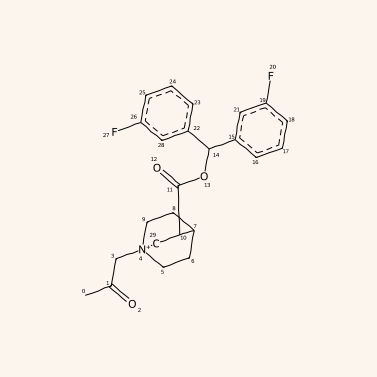 CC(=O)C[N+]12CCC(CC1)C(C(=O)OC(c1cccc(F)c1)c1cccc(F)c1)C2